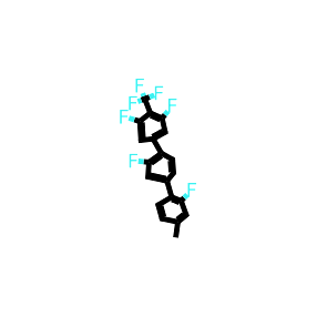 Cc1ccc(-c2ccc(-c3cc(F)c(C(F)(F)F)c(F)c3)c(F)c2)c(F)c1